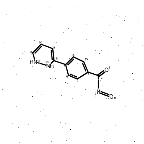 O=NC(=O)c1ccc(C2=CC=CNN2)cc1